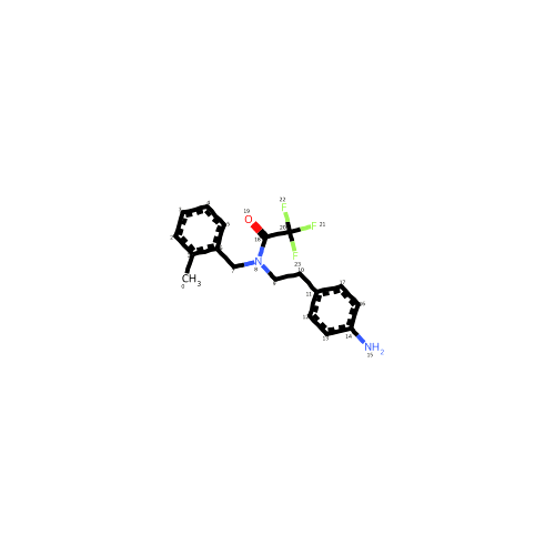 Cc1ccccc1CN(CCc1ccc(N)cc1)C(=O)C(F)(F)F